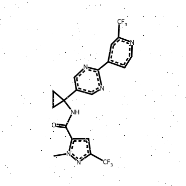 Cn1nc(C(F)(F)F)cc1C(=O)NC1(c2cnc(-c3ccnc(C(F)(F)F)c3)nc2)CC1